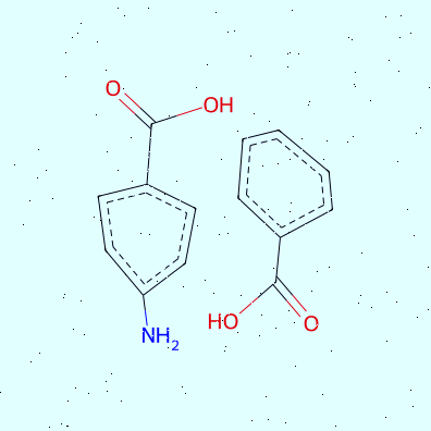 Nc1ccc(C(=O)O)cc1.O=C(O)c1ccccc1